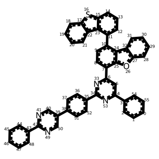 c1ccc(-c2cc(-c3ccc(-c4cccc5sc6ccccc6c45)c4c3oc3ccccc34)nc(-c3ccc(-c4cnc(-c5ccccc5)nc4)cc3)n2)cc1